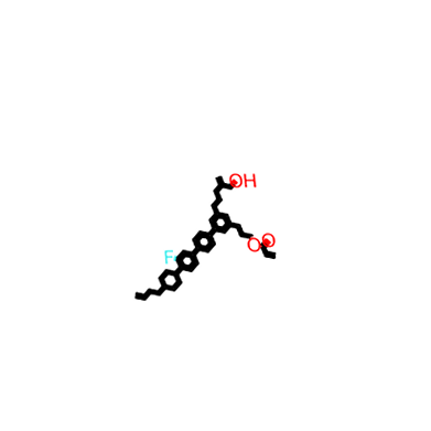 C=CCCC1CCC(c2ccc(-c3ccc(-c4cc(CCCOC(=O)C=C)cc(CCCC(=C)CO)c4)cc3)cc2F)CC1